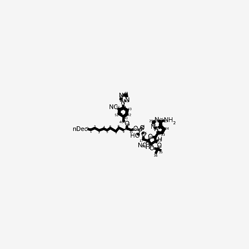 CCCCCCCCCCCCCCCCCCC[C@H](COP(=O)(O)OC[C@@]1(C#N)OC(c2ccc3c(N)ncnn23)[C@@H]2OC(C)(C)O[C@@H]21)OCc1ccc(-n2cncn2)c(C#N)c1